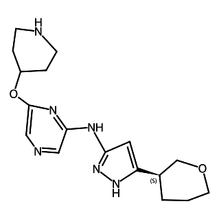 c1ncc(OC2CCNCC2)nc1Nc1cc([C@@H]2CCCOC2)[nH]n1